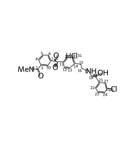 CNC(=O)c1cccc(S(=O)(=O)c2ccc(CCNC[C@@H](O)c3cccc(Cl)c3)cc2)c1.Cl